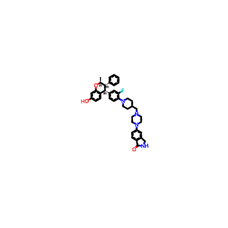 C[C@@H]1Oc2cc(O)ccc2[C@@H](c2ccc(N3CCC(CN4CCN(c5ccc6c(c5)CNC6=O)CC4)CC3)c(F)c2)[C@H]1c1ccccc1